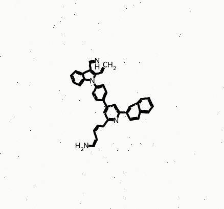 C=Cc1c(C=N)c2ccccc2n1-c1ccc(-c2cc(C/C=C\C=C/N)nc(-c3ccc4ccccc4c3)c2)cc1